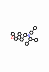 c1ccc(-c2ccc(N(c3cc(-c4ccccc4)cc(-c4ccccc4)c3)c3cccc(-c4cccc5c6ccc7oc8ccccc8c7c6c6ccccc6c45)c3)cc2)cc1